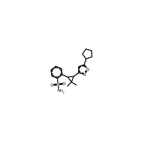 CC1(C)C(c2cc(C3CCCC3)on2)C1c1ccccc1S(N)(=O)=O